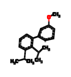 COc1cc[c]c(-c2cccc(C(C)C)c2C(C)C)c1